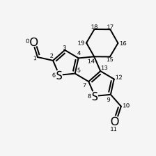 O=Cc1cc2c(s1)-c1sc(C=O)cc1C21CCCCC1